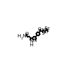 NC(=O)C=Cc1c[nH]c2ncc(-c3ccc(C(=O)c4nc(C(F)(F)F)cs4)cc3)cc12